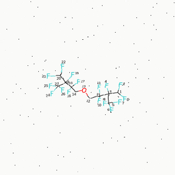 FC(F)C(F)(C(F)(F)F)C(F)(F)COCC(F)(F)C(F)(C(F)F)C(F)(F)F